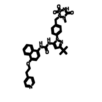 CN1C(=O)NS(=O)(=O)N1Cc1ccc(-n2nc(C(C)(C)C)cc2NC(=O)Nc2ccc(OCCc3ccncc3)c3ccccc23)cc1